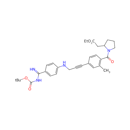 CCOC(=O)CC1CCCN1C(=O)c1ccc(C#CCNc2ccc(C(=N)NC(=O)OC(C)(C)C)cc2)cc1C